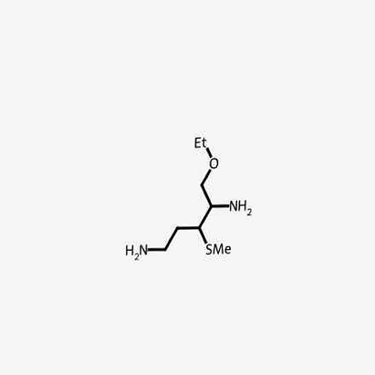 CCOCC(N)C(CCN)SC